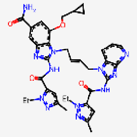 CCn1nc(C)cc1C(=O)Nc1nc2ncccc2n1CC=CCn1c(NC(=O)c2cc(C)nn2CC)nc2cc(C(N)=O)cc(OCC3CC3)c21